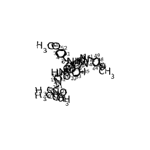 COc1ccc(CNS(=O)(=O)c2c(S(=O)(=O)N[C@@H]3CCN(CCN(C(=O)O)C(C)(C)C)C3)ccc(I)c2-c2nnn(Cc3ccc(OC)cc3)n2)cc1